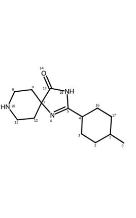 CC1CCC(C2=NC3(CCNCC3)C(=O)N2)CC1